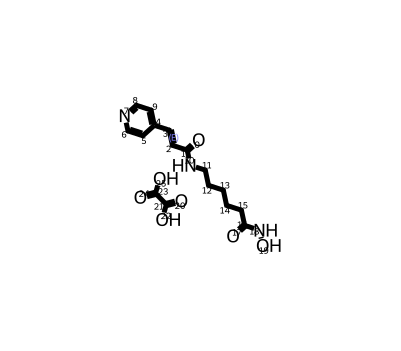 O=C(/C=C/c1ccncc1)NCCCCCC(=O)NO.O=C(O)C(=O)O